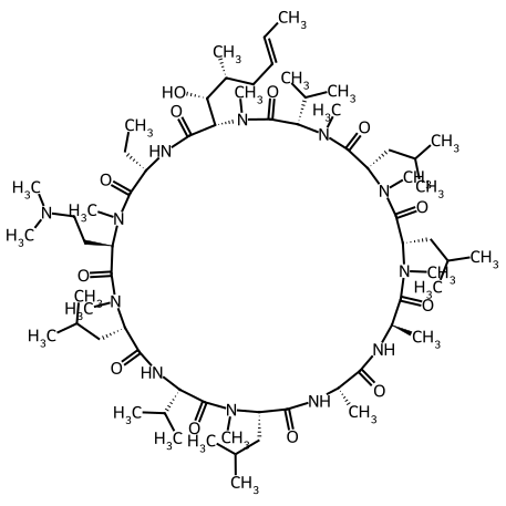 C/C=C/C[C@@H](C)[C@@H](O)[C@H]1C(=O)N[C@@H](CC)C(=O)N(C)[C@H](CCN(C)C)C(=O)N(C)[C@@H](CC(C)C)C(=O)N[C@@H](C(C)C)C(=O)N(C)[C@@H](CC(C)C)C(=O)N[C@@H](C)C(=O)N[C@H](C)C(=O)N(C)[C@@H](CC(C)C)C(=O)N(C)[C@@H](CC(C)C)C(=O)N(C)[C@@H](C(C)C)C(=O)N1C